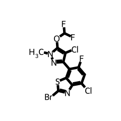 Cn1nc(-c2c(F)cc(Cl)c3nc(Br)sc23)c(Cl)c1OC(F)F